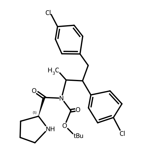 CC(C(Cc1ccc(Cl)cc1)c1ccc(Cl)cc1)N(C(=O)OC(C)(C)C)C(=O)[C@@H]1CCCN1